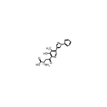 Cc1c(-c2cnn(-c3ccccc3)c2)cnc(C(=O)C[C@H](N)C(=O)O)c1O